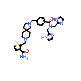 NC(=O)c1ccsc1CN1CCC2(CC1)CCN(Cc1ccc(C(=O)N(Cc3ncc[nH]3)Cc3ncc[nH]3)cc1)C2